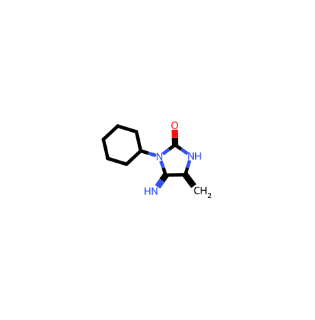 C=C1NC(=O)N(C2CCCCC2)C1=N